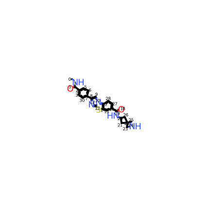 CNC(=O)c1ccc(-c2cn3c(n2)sc2cc(C(=O)NC4CC5(CNC5)C4)ccc23)cc1